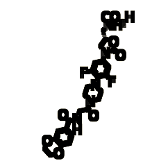 O=C(O)NC[C@H]1CN(c2cc(F)c(N3CCN(C(=O)CNC(=O)c4ccc5c(c4)OCCO5)CC3)c(F)c2)C(=O)O1